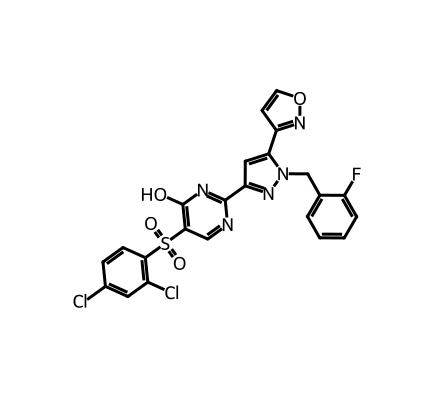 O=S(=O)(c1ccc(Cl)cc1Cl)c1cnc(-c2cc(-c3ccon3)n(Cc3ccccc3F)n2)nc1O